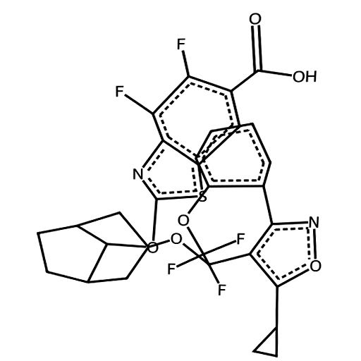 O=C(O)c1cc2sc(OC3C4CCC3CC(OCc3c(-c5ccccc5OC(F)(F)F)noc3C3CC3)C4)nc2c(F)c1F